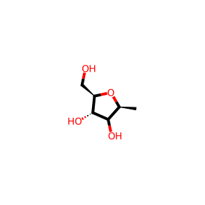 C[C@@H]1O[C@H](CO)[C@@H](O)C1O